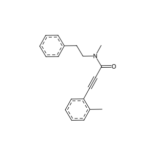 Cc1ccccc1C#CC(=O)N(C)CCc1ccccc1